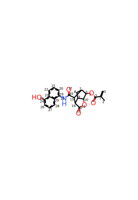 C=C(C)C(=O)OC1C2CC3C1OC(=O)C3C2C(=O)Nc1cccc2c(O)cccc12